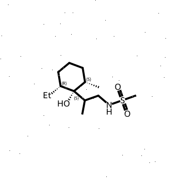 CC[C@@H]1CCC[C@H](C)[C@@]1(O)C(C)CNS(C)(=O)=O